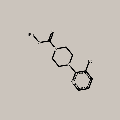 CCc1cccnc1N1CCN(C(=O)OC(C)(C)C)CC1